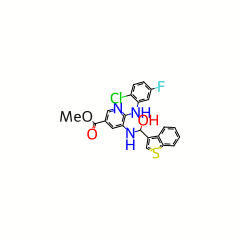 COC(=O)c1cnc(Nc2cc(F)ccc2Cl)c(NC(O)c2csc3ccccc23)c1